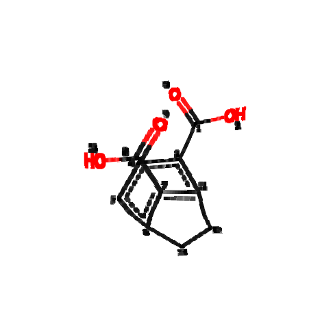 O=C(O)c1ccc2c(C(=O)O)c1CC2